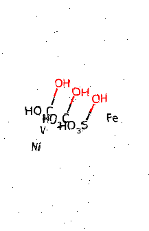 O=C(O)O.O=C(O)O.O=S(=O)(O)O.[Fe].[Ni].[V]